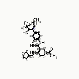 CN/C=C(\C(=N)C(F)(F)F)c1ccc(NC(=N)C2=C(NC[C@H]3CCOC3)CCN(C(C)=O)C2)c(F)c1